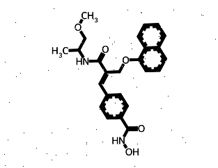 COCC(C)NC(=O)/C(=C/c1ccc(C(=O)NO)cc1)COc1cccc2ccccc12